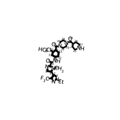 CCn1cc(-c2cnc(C(=O)Nc3ccc(C(=O)N4CCN(C(=O)C5CCNCC5)CC4)c(Cl)c3)n2C)c(C(F)(F)F)n1.Cl